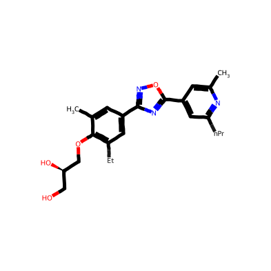 CCCc1cc(-c2nc(-c3cc(C)c(OC[C@H](O)CO)c(CC)c3)no2)cc(C)n1